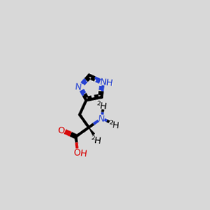 [2H]N([2H])[C@@]([2H])(Cc1c[nH]cn1)C(=O)O